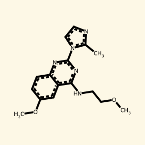 COCCNc1nc(-n2ccnc2C)nc2ccc(OC)cc12